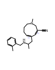 Cc1ccccc1CNC(C)CC1=C/CCCN(C)C/C(C#N)=C\1